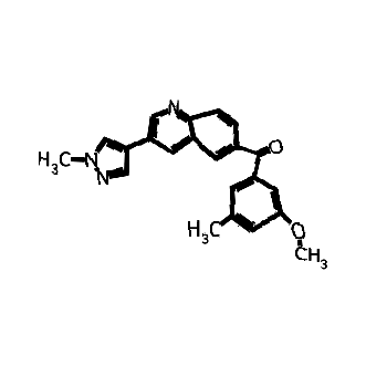 COc1cc(C)cc(C(=O)c2ccc3ncc(-c4cnn(C)c4)cc3c2)c1